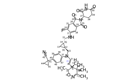 CC1=NOC(C)[C@](C)(/C=C/N(C[C@H]2C[C@@H]2CNc2cc3c(cc2F)C(=O)N(C2CCC(=O)NC2=O)C3=O)c2ccc(C3(C#N)CC3)cc2)C1(C)C